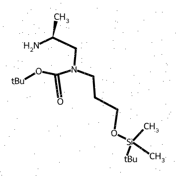 C[C@H](N)CN(CCCO[Si](C)(C)C(C)(C)C)C(=O)OC(C)(C)C